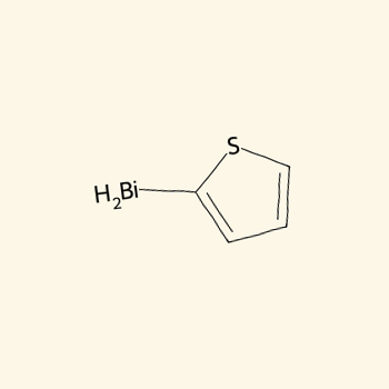 [BiH2][c]1cccs1